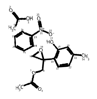 CC(=O)O.CC(=O)OCC1(c2ccc(C)cc2O)CO1.O=[N+]([O-])c1ccccc1